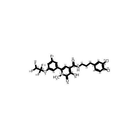 Cn1c(-c2cc(F)cc(OC(F)(F)C(F)F)c2)cc(C(=O)NCCCc2ccc(Cl)c(Cl)c2)c(O)c1=O